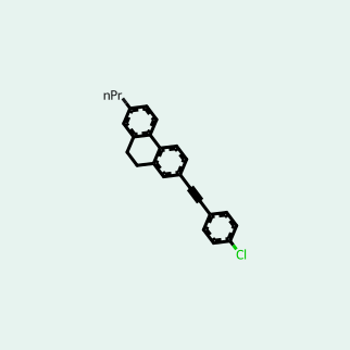 CCCc1ccc2c(c1)CCc1cc(C#Cc3ccc(Cl)cc3)ccc1-2